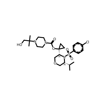 CC(C)[C@@H]1COC[C@H](C2(OC(=O)N3CCN(C(C)(C)CO)CC3)CC2)N1S(=O)(=O)c1ccc(Cl)cc1